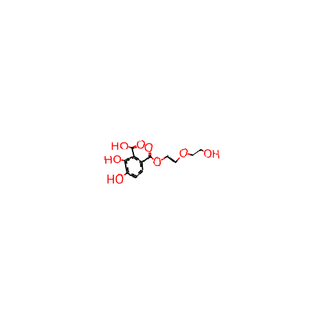 O=C(OCCOCCO)c1ccc(O)c(O)c1C(=O)O